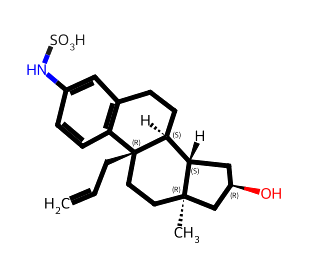 C=CC[C@]12CC[C@]3(C)C[C@H](O)C[C@H]3[C@@H]1CCc1cc(NS(=O)(=O)O)ccc12